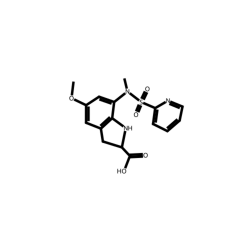 COc1cc2c(c(N(C)S(=O)(=O)c3ccccn3)c1)NC(C(=O)O)C2